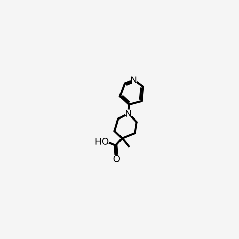 CC1(C(=O)O)CCN(c2ccncc2)CC1